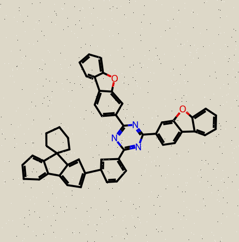 c1cc(-c2ccc3c(c2)C2(CCCCC2)c2ccccc2-3)cc(-c2nc(-c3ccc4c(c3)oc3ccccc34)nc(-c3ccc4c(c3)oc3ccccc34)n2)c1